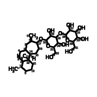 C=C1CC2CCC3[C@@H](C)CCC[C@@]3(C)[C@@H]2CCC1OC1OC(CO)C(O)C(OC2OC(CO)C(O)C(O)C2O)C1O